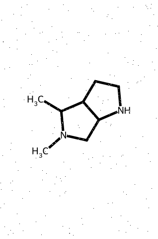 CC1C2CCNC2CN1C